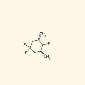 C=C1CS(F)(F)CC(=C)C1F